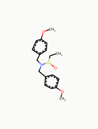 CC[S+]([O-])N(Cc1ccc(OC)cc1)Cc1ccc(OC)cc1